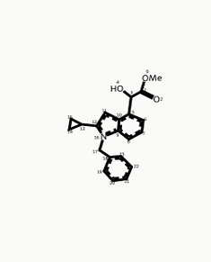 COC(=O)C(O)c1cccc2c1cc(C1CC1)n2Cc1ccccc1